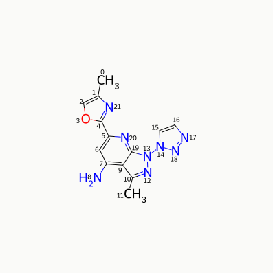 Cc1coc(-c2cc(N)c3c(C)nn(-n4ccnn4)c3n2)n1